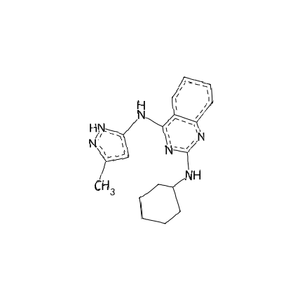 Cc1cc(Nc2nc(NC3CCCCC3)nc3ccccc23)[nH]n1